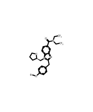 CCOc1ccc(Cc2nc3cc(C(=O)N(CC(F)(F)F)CC(F)(F)F)ccc3n2C[C@H]2CCCO2)cc1